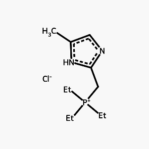 CC[P+](CC)(CC)Cc1ncc(C)[nH]1.[Cl-]